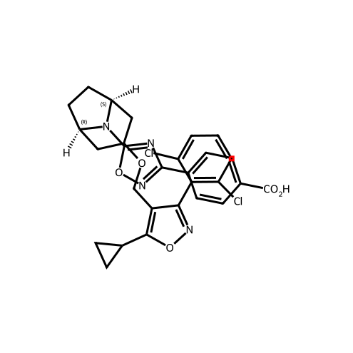 O=C(O)c1ccc(-c2noc(N3[C@@H]4CC[C@H]3CC(OCc3c(-c5c(Cl)cccc5Cl)noc3C3CC3)C4)n2)cc1